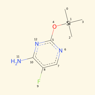 C[Si](C)(C)Oc1ncc(F)c(N)n1